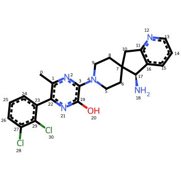 Cc1nc(N2CCC3(CC2)Cc2ncccc2[C@H]3N)c(O)nc1-c1cccc(Cl)c1Cl